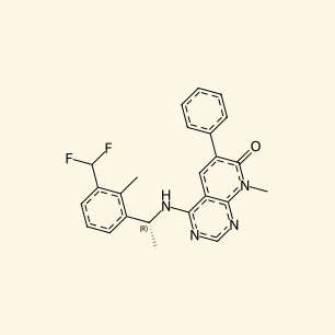 Cc1c(C(F)F)cccc1[C@@H](C)Nc1ncnc2c1cc(-c1ccccc1)c(=O)n2C